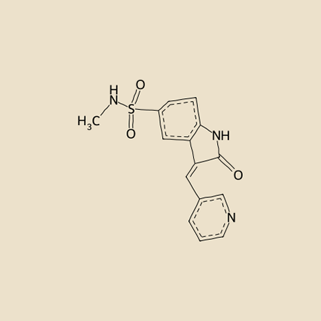 CNS(=O)(=O)c1ccc2c(c1)C(=Cc1cccnc1)C(=O)N2